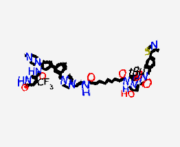 Cc1ncsc1-c1ccc(CNC(=O)[C@@H]2C[C@@H](O)CN2C(=O)[C@@H](NC(=O)CCCCCCCC(=O)NCCN2CCN(Cc3cccc(-c4ccc(N5CCN(C)CC5)c(NC(=O)c5c[nH]c(=O)cc5C(F)(F)F)c4)c3)CC2)C(C)(C)C)cc1